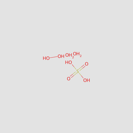 O.O.O=S(=O)(O)O.OO